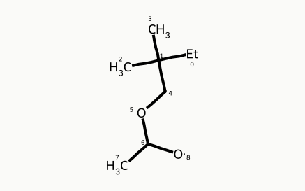 CCC(C)(C)COC(C)[O]